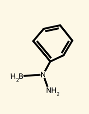 BN(N)c1ccccc1